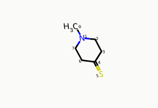 CN1CCC(=S)CC1